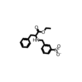 CCOC(=O)C(Cc1ccccc1)NCc1cccc([N+](=O)[O-])c1